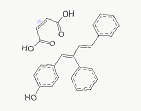 O=C(O)/C=C\C(=O)O.Oc1ccc(C=C(C=Cc2ccccc2)c2ccccc2)cc1